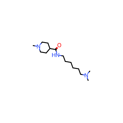 CN(C)CCCCCCNC(=O)C1CCN(C)CC1